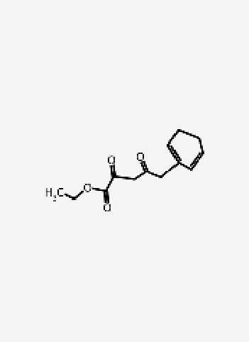 CCOC(=O)C(=O)CC(=O)CC1=CCCC=C1